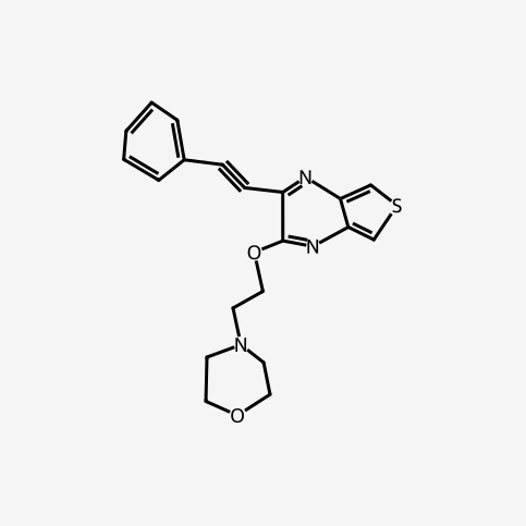 C(#Cc1nc2cscc2nc1OCCN1CCOCC1)c1ccccc1